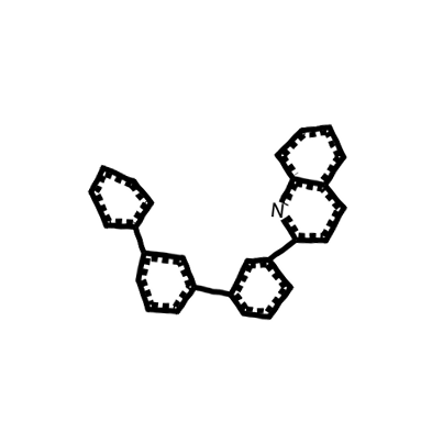 c1ccc(-c2cccc(-c3cccc(-c4ccc5ccccc5n4)c3)c2)cc1